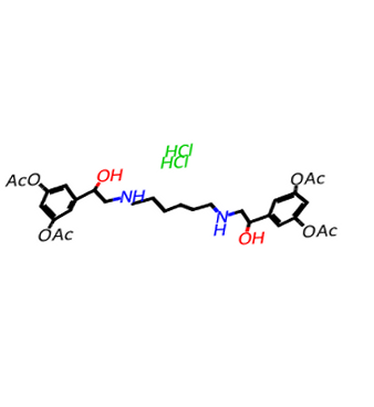 CC(=O)Oc1cc(OC(C)=O)cc(C(O)CNCCCCCCNCC(O)c2cc(OC(C)=O)cc(OC(C)=O)c2)c1.Cl.Cl